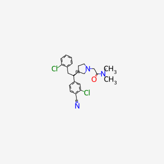 CN(C)C(=O)CN1CC[C@H](C(Cc2ccccc2Cl)c2ccc(C#N)c(Cl)c2)C1